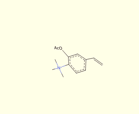 C=Cc1ccc([N+](C)(C)C)c(OC(C)=O)c1